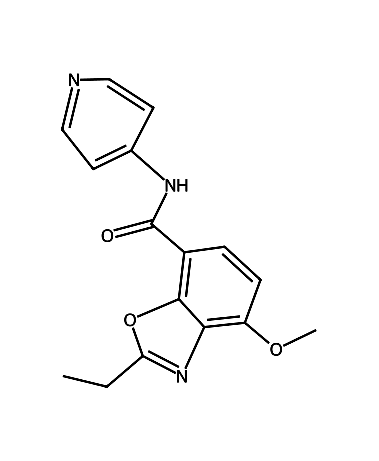 CCc1nc2c(OC)ccc(C(=O)Nc3ccncc3)c2o1